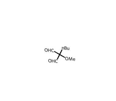 CCCCC(C=O)(C=O)OC